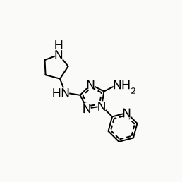 Nc1nc(NC2CCNC2)nn1-c1ccccn1